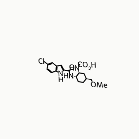 COC[C@H]1CC[C@H](NC(=O)c2cc3cc(Cl)ccc3[nH]2)[C@H](NC(=O)O)C1